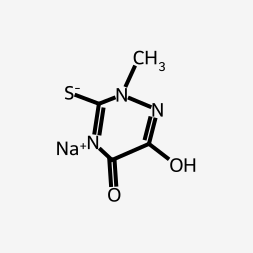 Cn1nc(O)c(=O)nc1[S-].[Na+]